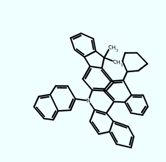 CC1(C)c2ccccc2-c2cc(N(c3ccc4ccccc4c3)c3ccc4ccccc4c3-c3ccc(C4CCCCC4)c4ccccc34)ccc21